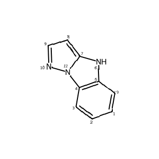 [c]1cccc2c1[nH]c1ccnn12